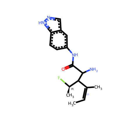 C/C=C(/C)C(C(N)C(=O)Nc1ccc2[nH]ncc2c1)[C@@H](C)F